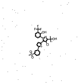 CC(C)(O)c1nn(-c2cccc(C(F)(F)F)c2O)c(-c2ccc(-c3cccc(S(C)(=O)=O)c3)s2)c1Cl